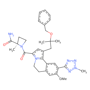 COc1cc2c(cc1-c1nnn(C)n1)-c1c(CC(C)(C)OCc3ccccc3)cc(C(=O)N3CC[C@]3(C)C(N)=O)n1CC2